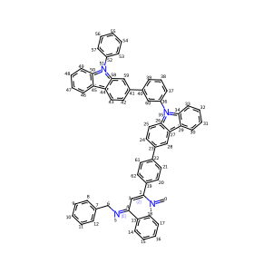 C=N/C(=C\C(=N/Cc1ccccc1)c1ccccc1)c1ccc(-c2ccc3c(c2)c2ccccc2n3-c2cccc(-c3ccc4c5ccccc5n(-c5ccccc5)c4c3)c2)cc1